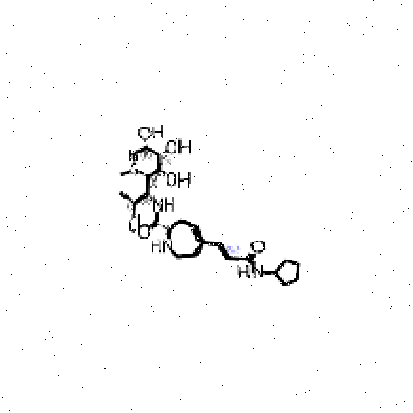 C[C@H](Cl)[C@@H](NC(=O)[C@@H]1CC=C(/C=C/C(=O)NC2CCCC2)CCN1)[C@@H]1[C@H](O)[C@@H](O)[C@@H](O)C[SH]1C